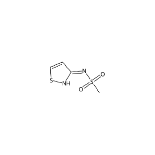 CS(=O)(=O)N=c1ccs[nH]1